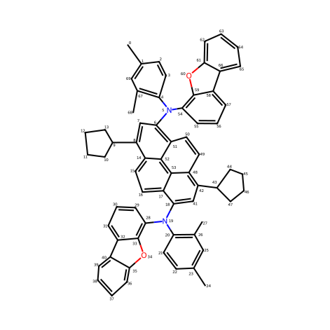 Cc1ccc(N(c2cc(C3CCCC3)c3ccc4c(N(c5ccc(C)cc5C)c5cccc6c5oc5ccccc56)cc(C5CCCC5)c5ccc2c3c54)c2cccc3c2oc2ccccc23)c(C)c1